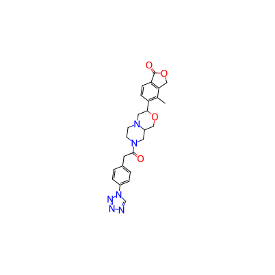 Cc1c(C2CN3CCN(C(=O)Cc4ccc(-n5cnnn5)cc4)CC3CO2)ccc2c1COC2=O